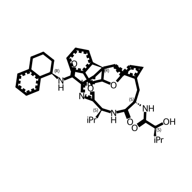 CC(C)[C@H](O)C(=O)N[C@H]1Cc2ccc3c(c2)[C@@]2(c4ccccc4NC2O3)c2oc(nc2C(=O)N[C@@H]2CCCc3ccccc32)[C@H](C(C)C)NC1=O